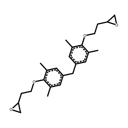 Cc1cc(Cc2cc(C)c(OCCC3CO3)c(C)c2)cc(C)c1OCCC1CO1